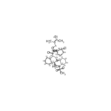 CC/C(C)=C(\C)CONC(=O)[C@@H]1c2ccccc2C(=O)N([C@H]2CCCC[C@@H]2N(C)S(C)(=O)=O)[C@H]1c1ccc(Cl)cc1Cl